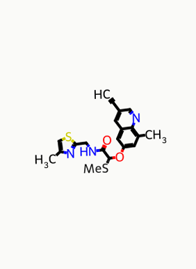 C#Cc1cnc2c(C)cc(OC(SC)C(=O)NCc3nc(C)cs3)cc2c1